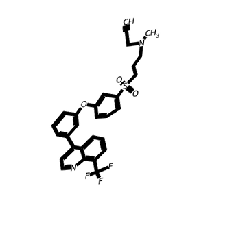 C#CCN(C)CCCS(=O)(=O)c1cccc(Oc2cccc(-c3ccnc4c(C(F)(F)F)cccc34)c2)c1